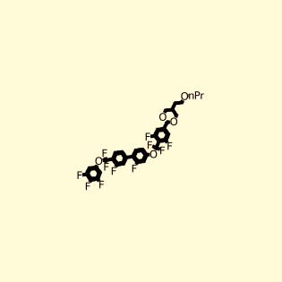 CCCOCCC1COC(c2cc(F)c(C(F)(F)Oc3ccc(-c4ccc(C(F)(F)Oc5cc(F)c(F)c(F)c5)c(F)c4)c(F)c3)c(F)c2)OC1